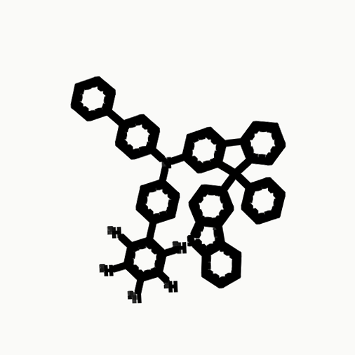 [2H]c1c([2H])c([2H])c(-c2ccc(N(c3ccc(-c4ccccc4)cc3)c3ccc4c(c3)C(c3ccccc3)(c3ccc5sc6ccccc6c5c3)c3ccccc3-4)cc2)c([2H])c1[2H]